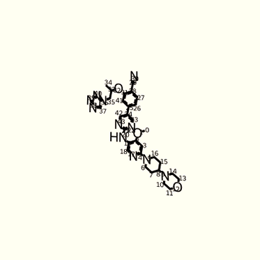 COc1cc(N2CCC(N3CCOCC3)CC2)ncc1Nc1ncc(-c2ccc(C#N)c(OC(C)Cn3cnnn3)c2)cn1